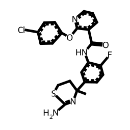 CC1(c2ccc(F)c(NC(=O)c3cccnc3Oc3ccc(Cl)cc3)c2)CCSC(N)=N1